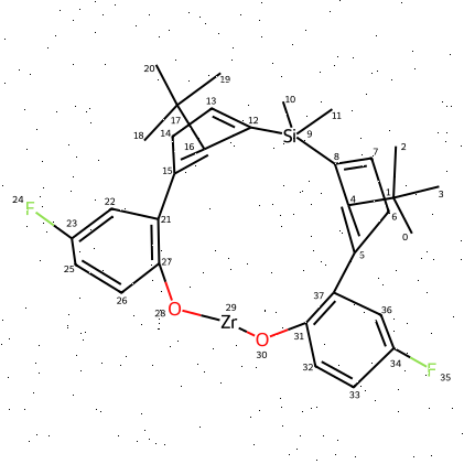 CC(C)(C)C1=C2CC=C1[Si](C)(C)C1=CCC(=C1C(C)(C)C)c1cc(F)ccc1[O][Zr][O]c1ccc(F)cc12